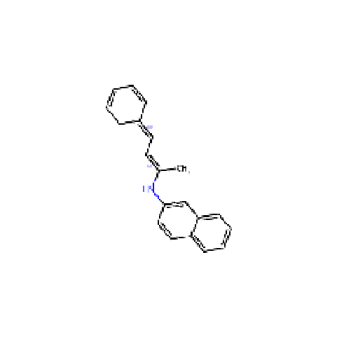 C/C(=C\C=C1\C=CC=CC1)Nc1ccc2ccccc2c1